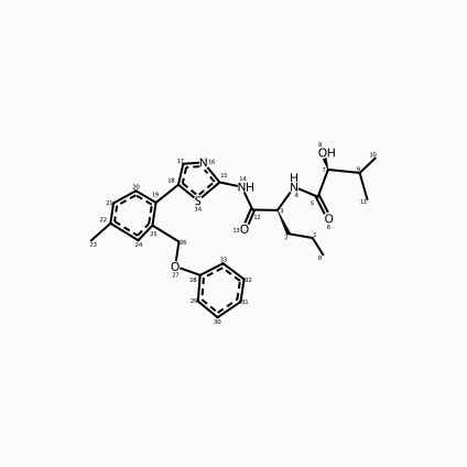 CCC[C@H](NC(=O)[C@@H](O)C(C)C)C(=O)Nc1ncc(-c2ccc(C)cc2COc2ccccc2)s1